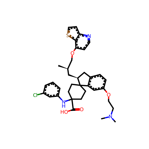 C[C@@H](COc1ccnc2ccsc12)C[C@H]1Cc2ccc(OCCN(C)C)cc2C12CCC(Nc1cccc(Cl)c1)(C(=O)O)CC2